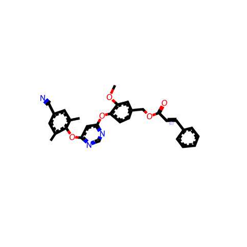 COc1cc(COC(=O)/C=C/c2ccccc2)ccc1Oc1cc(Oc2c(C)cc(C#N)cc2C)ncn1